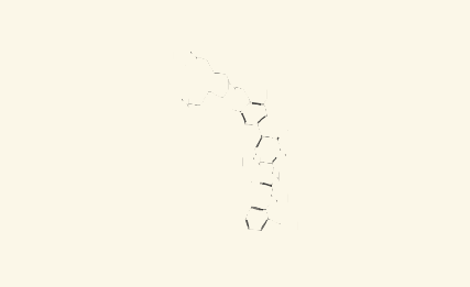 Cc1ccccc1NC(=O)Nc1nc(=O)c(-c2cc(F)c(CN(CCCN)CCCN)c(F)c2)c[nH]1